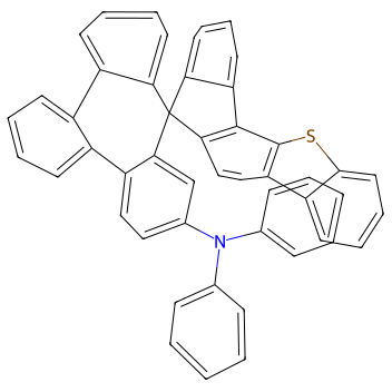 c1ccc(N(c2ccccc2)c2ccc3c(c2)C2(c4ccccc4-c4ccccc4-3)c3ccccc3-c3c2ccc2c3sc3ccccc32)cc1